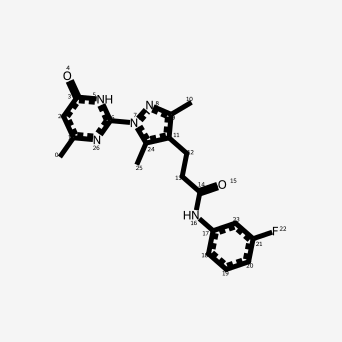 Cc1cc(=O)[nH]c(-n2nc(C)c(CCC(=O)Nc3cccc(F)c3)c2C)n1